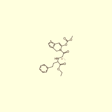 CCOC(=O)C(CCc1ccccc1)N[C@@H](C)C(=O)N1Cc2ccsc2C=C1OC(=O)OC